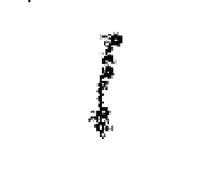 Cn1c(=O)n(C2CCC(=O)NC2=O)c2cccc(CCCCCc3cn(Cc4cccc(N5C[C@H]6C[C@@H]5CN6/C=C/C(=O)c5ccccc5O)n4)nn3)c21